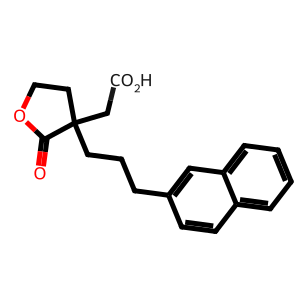 O=C(O)CC1(CCCc2ccc3ccccc3c2)CCOC1=O